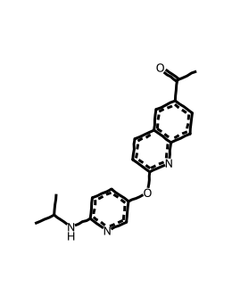 CC(=O)c1ccc2nc(Oc3ccc(NC(C)C)nc3)ccc2c1